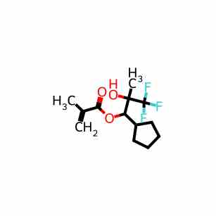 C=C(C)C(=O)OC(C1CCCC1)C(C)(O)C(F)(F)F